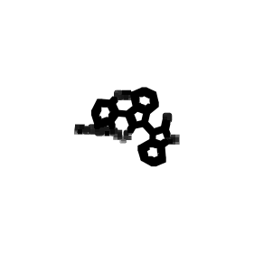 COc1ccc(OC)c(C2=C(C)C(C3C(=O)Nc4ccccc43)c3ccccc32)c1OC